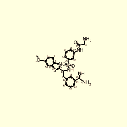 COc1ccc2nc(C(Cc3cccc(C(=N)N)c3)NS(=O)(=O)c3cccc(NC(=O)CN)c3)sc2c1